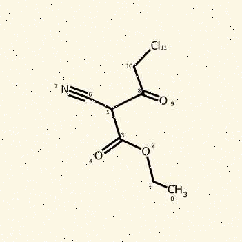 CCOC(=O)C(C#N)C(=O)CCl